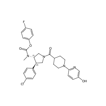 CN(C(=O)Oc1ccc(F)cc1)[C@@H]1CN(C(=O)C2CCN(c3ccc(O)cn3)CC2)C[C@H]1c1ccc(Cl)cc1